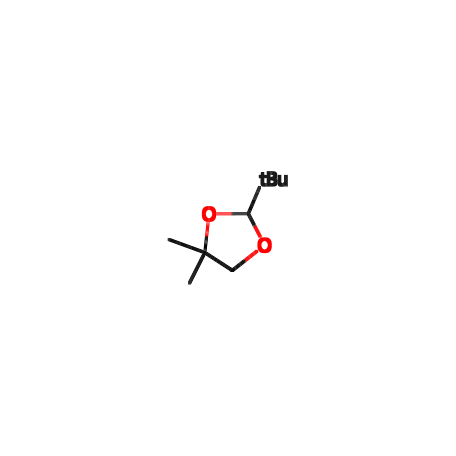 CC1(C)COC(C(C)(C)C)O1